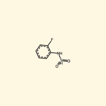 O=[SH](=O)Nc1ccccc1F